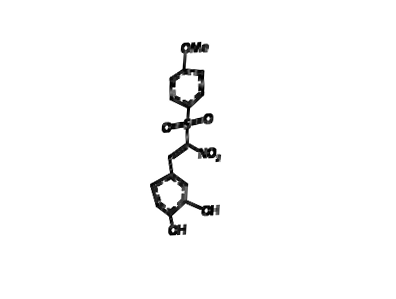 COc1ccc(S(=O)(=O)C(=Cc2ccc(O)c(O)c2)[N+](=O)[O-])cc1